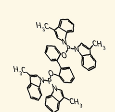 Cc1cn(P(Oc2ccccc2-c2ccccc2OP(n2cc(C)c3ccccc32)n2cc(C)c3ccccc32)n2cc(C)c3ccccc32)c2ccccc12